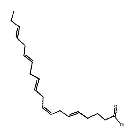 CC/C=C/C/C=C/C/C=C/C/C=C\C/C=C/CCCC(=O)O